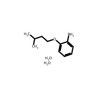 Bc1ccccc1OCCC(C)C.O.O